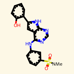 CNS(=O)(=O)c1cccc(Nc2ncnc3[nH]c(-c4ccccc4O)cc23)c1